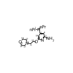 CCCN(CCC)c1cc(N)nc(OCCN2CCOCC2)c1